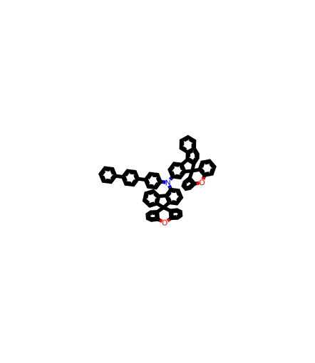 c1ccc(-c2ccc(-c3ccc(N(c4ccc5c(c4)C4(c6ccccc6Oc6ccccc64)c4ccc6ccccc6c4-5)c4cccc5c4-c4ccccc4C54c5ccccc5Oc5ccccc54)cc3)cc2)cc1